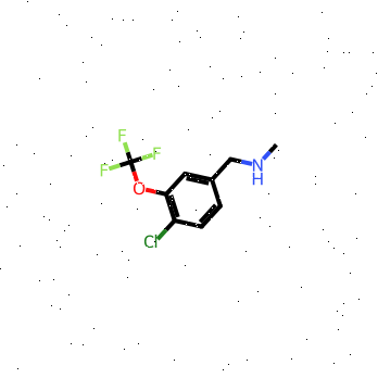 CNCc1ccc(Cl)c(OC(F)(F)F)c1